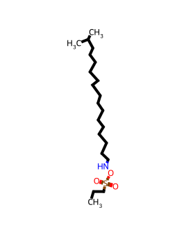 CCCS(=O)(=O)ONCCCCCCCCCCCCCCCC(C)C